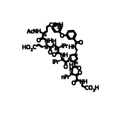 CCC[C@H](NC(=O)[C@@H]1C[C@@H](CNC(=O)c2cccc(Oc3ccccc3)c2)CN1C(=O)[C@@H](NC(=O)[C@@H](NC(=O)[C@H](CCC(=O)O)NC(=O)[C@H](CCC(=O)O)NC(C)=O)C(C)C)C(C)C)C(=O)C(=O)NCC(=O)O